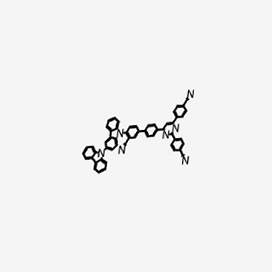 N#Cc1ccc(-c2cc(-c3ccc(-c4ccc(-n5c6ccccc6c6cc(-n7c8ccccc8c8ccccc87)ccc65)c(C#N)c4)cc3)nc(-c3ccc(C#N)cc3)n2)cc1